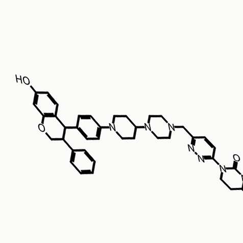 O=C1CCN(c2ccc(CN3CCN(C4CCN(c5ccc(C6c7ccc(O)cc7OCC6c6ccccc6)cc5)CC4)CC3)nn2)C(=O)N1